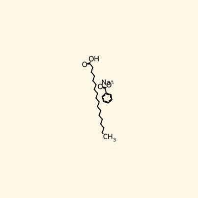 CCCCCCCCCCCCCCCCCC(=O)O.O=C([O-])c1ccccc1.[Na+]